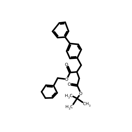 CC(C)(C)OC(=O)CC(Cc1ccc(-c2ccccc2)cc1)C(=O)OCC1=CCCC=C1